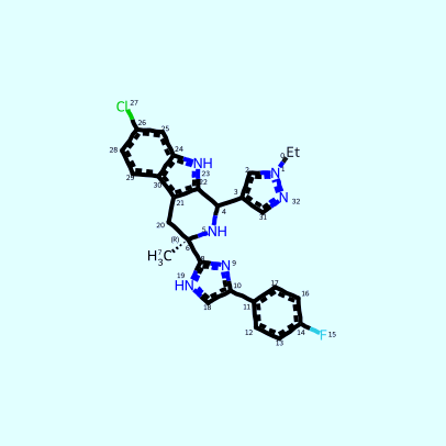 CCn1cc(C2N[C@@](C)(c3nc(-c4ccc(F)cc4)c[nH]3)Cc3c2[nH]c2cc(Cl)ccc32)cn1